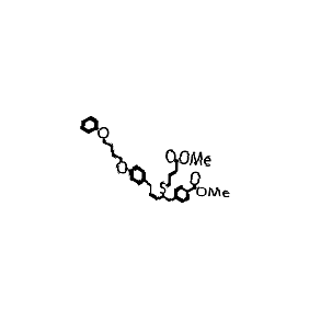 COC(=O)CCCSC(/C=C\Cc1ccc(OCCCCOc2ccccc2)cc1)Cc1ccc(C(=O)OC)cc1